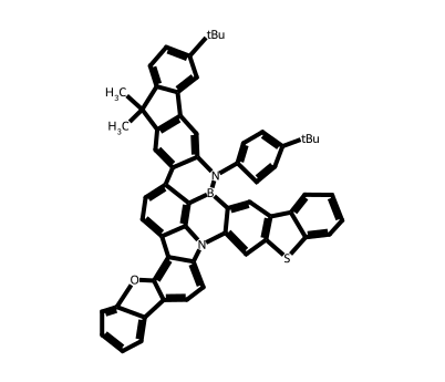 CC(C)(C)c1ccc(N2B3c4cc5c(cc4-n4c6ccc7c8ccccc8oc7c6c6ccc(c3c64)-c3cc4c(cc32)-c2cc(C(C)(C)C)ccc2C4(C)C)sc2ccccc25)cc1